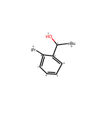 CCCCC(O)c1ccccc1C(C)C